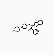 CN1CCN(c2ccc(CN(C(=O)c3cccnc3)C3Cc4ccccc4C3)cn2)CC1